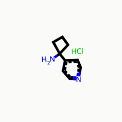 Cl.NC1(c2ccncc2)CCC1